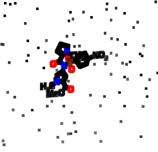 COC(=O)c1cc(N(C(=O)c2cccn2C)S(=O)(=O)c2ccc([N+](=O)[O-])cc2)cn1C